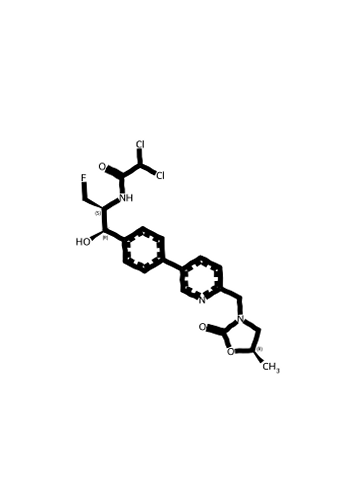 C[C@@H]1CN(Cc2ccc(-c3ccc([C@@H](O)[C@@H](CF)NC(=O)C(Cl)Cl)cc3)cn2)C(=O)O1